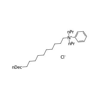 CCCCCCCCCCCCCCCCCCCC[N+](CCC)(CCC)c1ccccc1.[Cl-]